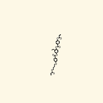 C=CC(=O)OCCCCOc1ccc(C(=O)Oc2ccc(OC(=O)c3ccc(OC(=O)C=C)cc3)c(CC)c2)cc1